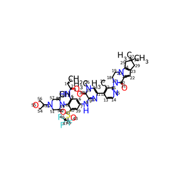 C=CC(=O)Nc1cc(Nc2nc(-c3ccnc(N4CCn5c(cc6c5CC(C)(C)C6)C4=O)c3C)cn(C)c2=O)cc(S(=O)(=O)C(F)(F)F)c1N1CCN(C2COC2)C[C@@H]1C